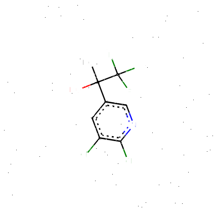 CC(O)(c1cnc(Cl)c(Cl)c1)C(F)(F)F